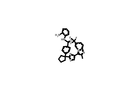 Cc1nc2ccc(C(F)(F)F)cn2c1-c1csc(C2(c3ccc(C(=O)Nc4ccccc4N)cc3)CCCC2)n1